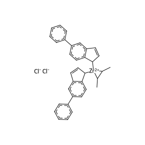 C[CH]1[CH](C)[Zr+2]1([CH]1C=Cc2cc(-c3ccccc3)ccc21)[CH]1C=Cc2cc(-c3ccccc3)ccc21.[Cl-].[Cl-]